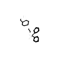 CC(C)(C)[Si](OCCOC1CCC(CO)CC1)(c1ccccc1)c1ccccc1